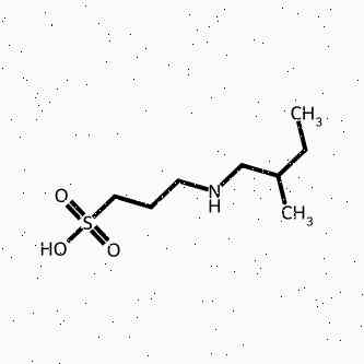 CCC(C)CNCCCS(=O)(=O)O